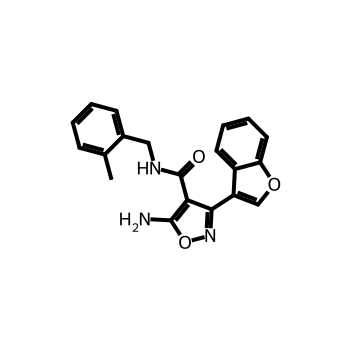 Cc1ccccc1CNC(=O)c1c(-c2coc3ccccc23)noc1N